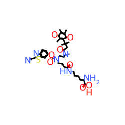 CC1=C(C)C(=O)C(C(C)(C)CC(=O)N(C)CCN(CCCC(=O)NCCCCC(N)C(=O)O)C(=O)Oc2ccc3nc(C#N)sc3c2)=C(C)C1=O